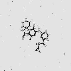 Cc1cc(Nc2cc(C(=O)NC3CC3)ncn2)c(=O)n2c1C(=O)NC21CCOCC1